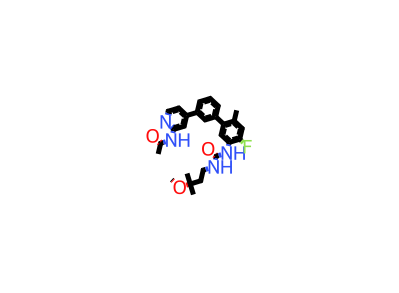 COC(C)(C)CCNC(=O)Nc1cc(-c2cccc(-c3ccnc(NC(C)=O)c3)c2)c(C)cc1F